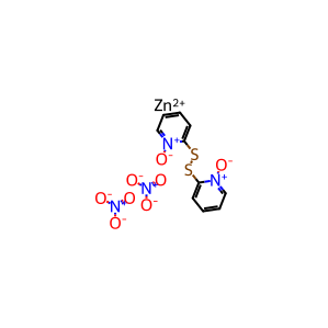 O=[N+]([O-])[O-].O=[N+]([O-])[O-].[O-][n+]1ccccc1SSc1cccc[n+]1[O-].[Zn+2]